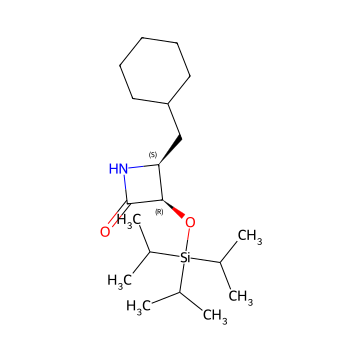 CC(C)[Si](O[C@H]1C(=O)N[C@H]1CC1CCCCC1)(C(C)C)C(C)C